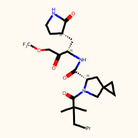 CC(C)CC(C)(C)C(=O)N1CC2(CC2)C[C@H]1C(=O)N[C@@H](C[C@@H]1CCNC1=O)C(=O)COC(F)(F)F